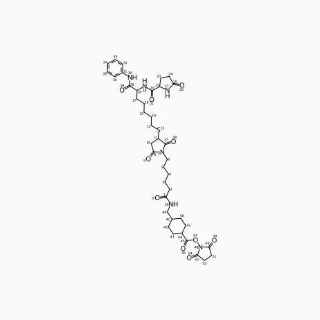 O=C(CCCCCN1C(=O)CC(SCCCCCC(NC(=O)C2CCC(=O)N2)C(=O)Nc2ccccc2)C1=O)NCC1CCC(C(=O)ON2C(=O)CCC2=O)CC1